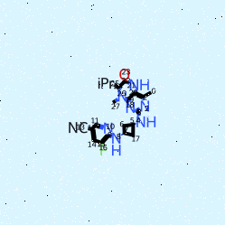 Cc1nc(N[C@H]2C[C@@H](Nc3ncc(C#N)cc3F)C2)nc2c1NC(=O)C(C(C)C)N2C